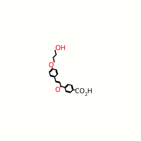 O=C(O)c1ccc(C(=O)C=Cc2ccc(OCCCCO)cc2)cc1